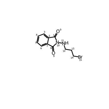 O=C1c2ccccc2C(=O)N1NCCCBr